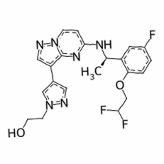 C[C@@H](Nc1ccn2ncc(-c3cnn(CCO)c3)c2n1)c1cc(F)ccc1OCC(F)F